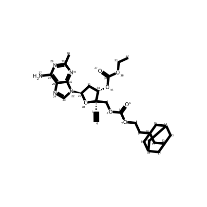 C#C[C@]1(COC(=O)OCCC23CC4CC(CC(C4)C2)C3)O[C@@H](n2cnc3c(N)nc(C)nc32)C[C@@H]1OC(=O)OCC